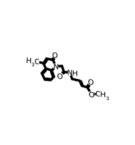 COC(=O)/C=C/CNC(=O)Cn1c(=O)cc(C)c2ccccc21